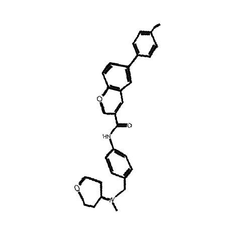 Cc1ccc(-c2ccc3c(c2)C=C(C(=O)Nc2ccc(CN(C)C4CCOCC4)cc2)CO3)cc1